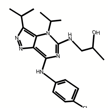 CC(O)CNc1nc(Nc2ccc(Cl)cc2)c2nnc(C(C)C)c-2n1C(C)C